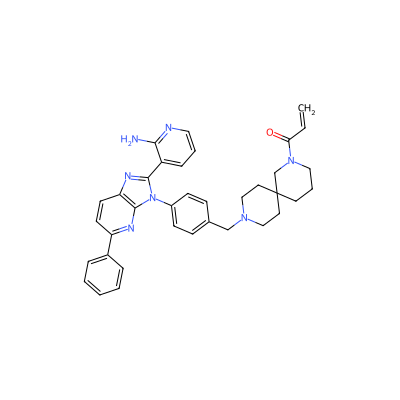 C=CC(=O)N1CCCC2(CCN(Cc3ccc(-n4c(-c5cccnc5N)nc5ccc(-c6ccccc6)nc54)cc3)CC2)C1